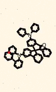 c1ccc(-c2ccccc2N(c2ccccc2)c2ccc3c(c2)-c2ccccc2C32c3ccc(N(c4ccccc4)c4ccccc4)cc3-c3oc4ccccc4c32)cc1